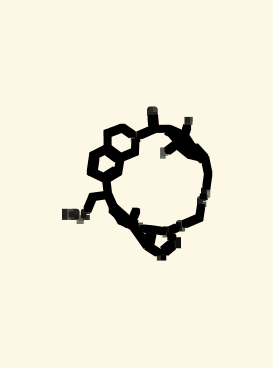 Cc1c2cnc3c1nnn3CCCCCc1cc(F)c(c(F)c1)C(=O)N1CCc3ccc(cc3C1)C2CC(=O)O